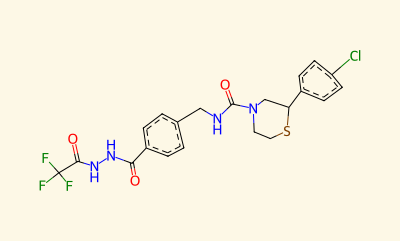 O=C(NNC(=O)C(F)(F)F)c1ccc(CNC(=O)N2CCSC(c3ccc(Cl)cc3)C2)cc1